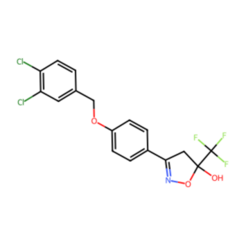 OC1(C(F)(F)F)CC(c2ccc(OCc3ccc(Cl)c(Cl)c3)cc2)=NO1